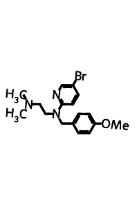 COc1ccc(CN(CCN(C)C)c2ccc(Br)cn2)cc1